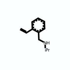 C=Cc1ccccc1CNC(C)C